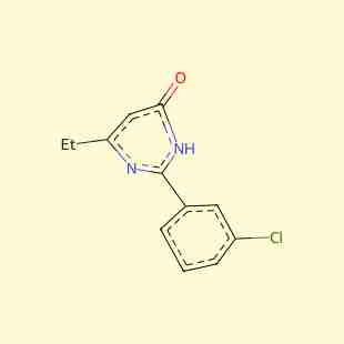 CCc1cc(=O)[nH]c(-c2cccc(Cl)c2)n1